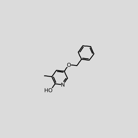 Cc1cc(OCc2ccccc2)cnc1O